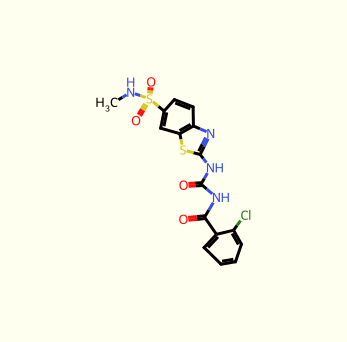 CNS(=O)(=O)c1ccc2nc(NC(=O)NC(=O)c3ccccc3Cl)sc2c1